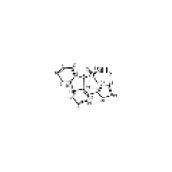 [CH3][Zr]([CH3])(=[SiH2])[CH]1c2ccccc2-c2cccc(C3=CC=CC3)c21